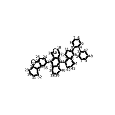 c1ccc(-c2ccccc2-c2ccc3c(-c4c5ccccc5c(-c5ccc6oc7ccccc7c6c5)c5ccccc45)cccc3c2)cc1